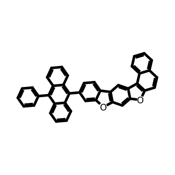 c1ccc(-c2c3ccccc3c(-c3ccc4c(c3)oc3cc5oc6ccc7ccccc7c6c5cc34)c3ccccc23)cc1